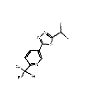 [2H]C([2H])(Br)c1ccc(-c2nnc(C(F)F)o2)cn1